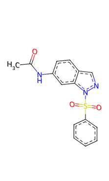 CC(=O)Nc1ccc2cnn(S(=O)(=O)c3ccccc3)c2c1